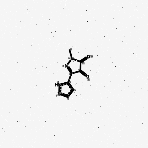 CN1N=C(c2ccn[nH]2)C(=O)C1=O